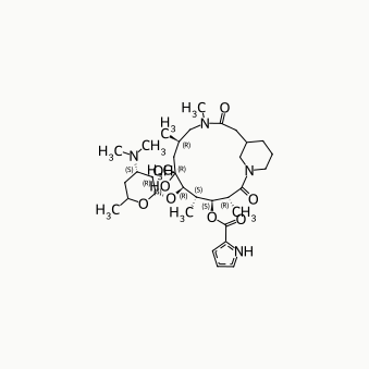 CC1C[C@H](N(C)C)[C@@H](O)[C@H](O[C@@H]2[C@@H](C)[C@H](OC(=O)c3ccc[nH]3)[C@@H](C)C(=O)N3CCCC(CC(=O)N(C)C[C@H](C)C[C@@]2(C)O)C3)O1